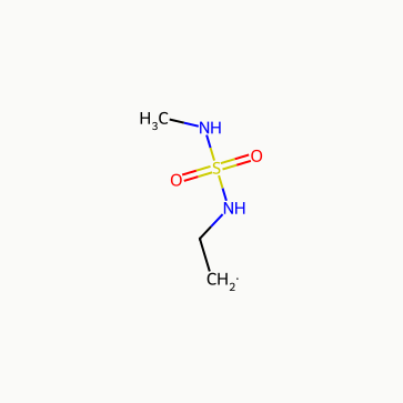 [CH2]CNS(=O)(=O)NC